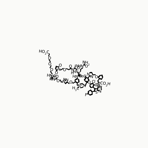 COc1ccccc1-c1nccc(COc2ccccc2C[C@@H](Oc2ncnc3sc(-c4ccc(F)cc4)c(-c4ccc(OCCN5CC[N+](C)(Cc6ccc(NC(=O)[C@H](CCCNC(N)=O)NC(=O)[C@@H](NC(=O)CCOCCN7C(=O)C=CC7=O)C(C)C)cc6COCc6cn(CCOC(=O)NS(=O)(=O)NCCOCCOCCOCCC(=O)O)nn6)CC5)c(Cl)c4C)c23)C(=O)O)n1